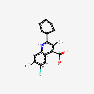 Cc1cc2nc(-c3ccccc3)c(C)c(C(=O)O)c2cc1F